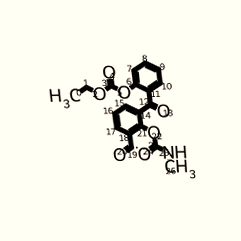 CCOC(=O)Oc1ccccc1C(=O)c1cccc([C]=O)c1OC(=O)NC